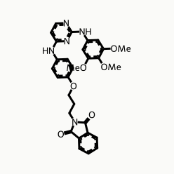 COc1cc(Nc2nccc(Nc3ccc(OCCCN4C(=O)c5ccccc5C4=O)cc3)n2)cc(OC)c1OC